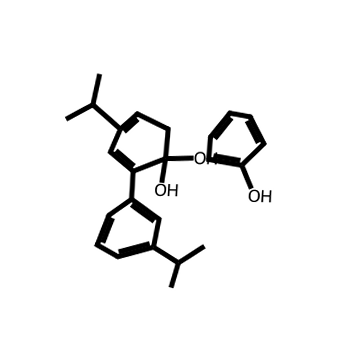 CC(C)C1=CCC(O)(O)C(c2cccc(C(C)C)c2)=C1.Oc1ccccc1